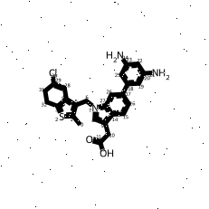 Cc1sc2c(c1Cn1cc(CC(=O)O)c3ccc(-c4cc(N)cc(N)c4)cc31)C=C(Cl)CC2